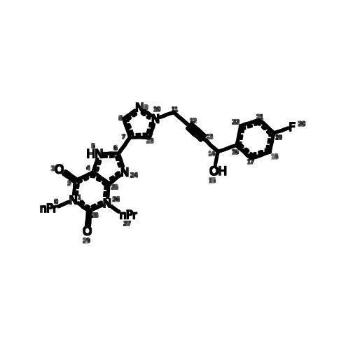 CCCn1c(=O)c2[nH]c(-c3cnn(CC#CC(O)c4ccc(F)cc4)c3)nc2n(CCC)c1=O